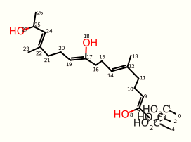 CC(=O)O.CC(=O)O.CC(=O)O.CC(O)=CCCC(C)=CCCC(O)=CCCC(C)=CC(C)O